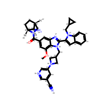 COc1cc(C(=O)N2C[C@H]3CC[C@@H]2[C@@H]3N)cc2nc(-c3cc4ccccc4n3CC3CC3)n(CC3CN(c4cncc(C#N)c4)C3)c12